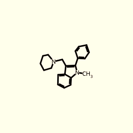 Cn1c(-c2ccccc2)c(CN2CCCCC2)c2ccccc21